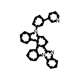 c1cncc(-c2cccc(-n3c4ccccc4c4c5c6ccccc6n6c7ccccc7nc6c5ccc43)c2)c1